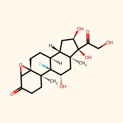 C[C@]12CCC(=O)C3O[C@@]31CC[C@H]1[C@@H]3C[C@@H](O)[C@](O)(C(=O)CO)[C@@]3(C)C[C@H](O)[C@@]12F